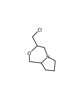 ClCC1CN2CCCC2CO1